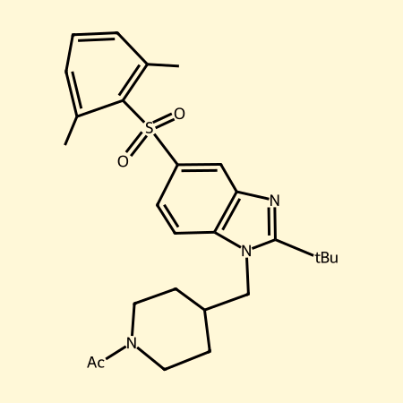 CC(=O)N1CCC(Cn2c(C(C)(C)C)nc3cc(S(=O)(=O)c4c(C)cccc4C)ccc32)CC1